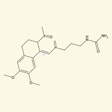 C=C(/C=C1/c2cc(OC)c(OC)cc2CCC1C(C)=O)CCCNC(N)=O